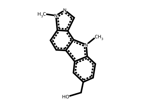 Cn1ncc2c1ccc1c3cc(CO)ccc3n(C)c12